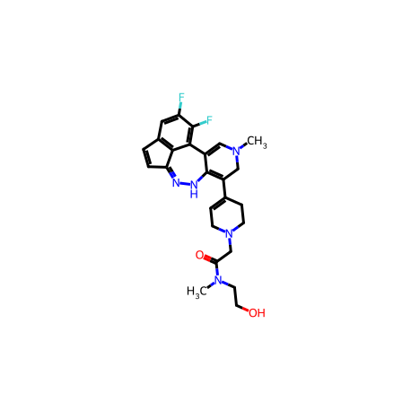 CN1C=C2C(=C(C3=CCN(CC(=O)N(C)CCO)CC3)C1)NN=C1C=Cc3cc(F)c(F)c2c31